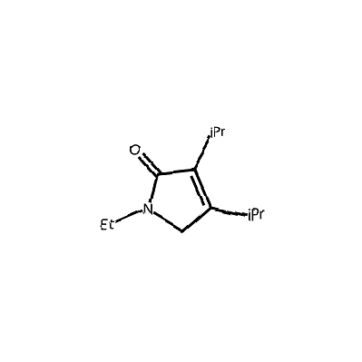 CCN1CC(C(C)C)=C(C(C)C)C1=O